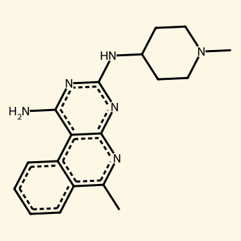 Cc1nc2nc(NC3CCN(C)CC3)nc(N)c2c2ccccc12